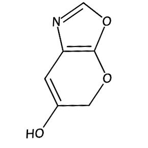 OC1=Cc2ncoc2OC1